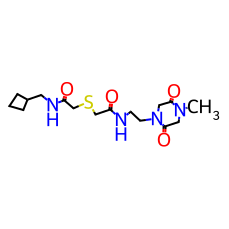 CN1CC(=O)N(CCNC(=O)CSCC(=O)NCC2CCC2)CC1=O